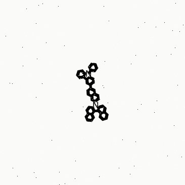 c1ccc(-n2c3ccccc3c3cc(-c4ccc5cc(-n6c7ccc8ccccc8c7c7c8ccccc8ccc76)ccc5c4)ccc32)cc1